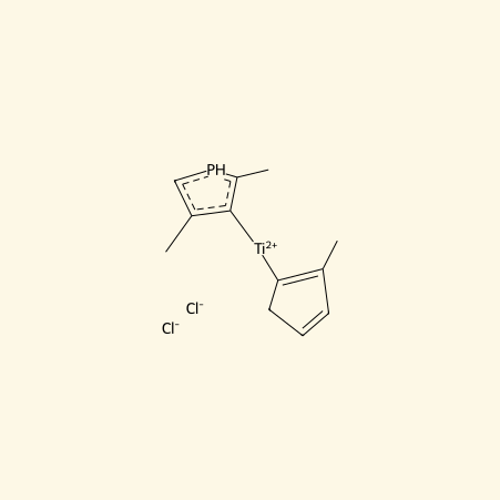 CC1=[C]([Ti+2][c]2c(C)c[pH]c2C)CC=C1.[Cl-].[Cl-]